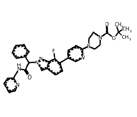 CC(C)(C)OC(=O)N1CCN(c2ccc(-c3ccc4cn(C(C(=O)Nc5ccccn5)c5ccccc5)nc4c3F)cn2)CC1